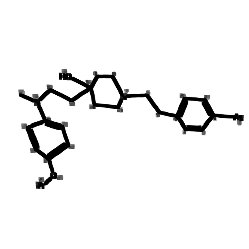 CC(=O)c1ccc(CCN2CCC(O)(CCN(C)c3ccc(OC(C)C)cc3)CC2)cc1